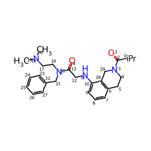 CC(C)C(=O)N1CCc2cccc(NCC(=O)N(CCN(C)C)Cc3ccccc3)c2C1